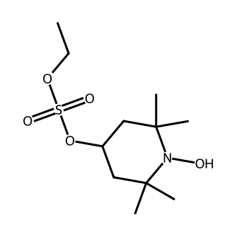 CCOS(=O)(=O)OC1CC(C)(C)N(O)C(C)(C)C1